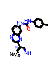 CN/C=C(\C=N)c1cnc2ccc(NC(=O)Nc3ccc(C)cc3)cc2n1